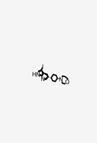 Ic1c[nH]c2ncc([C@H]3CC[C@H](N4CCCOCC4)CC3)cc12